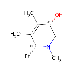 CC[C@@H]1C(C)=C(C)[C@H](O)CN1C